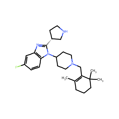 CC1=C(CN2CCC(n3c([C@@H]4CCNC4)nc4cc(F)ccc43)CC2)C(C)(C)CCC1